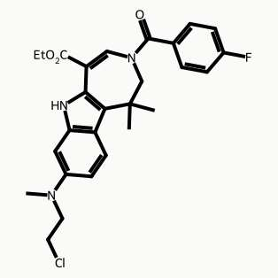 CCOC(=O)C1=CN(C(=O)c2ccc(F)cc2)CC(C)(C)c2c1[nH]c1cc(N(C)CCCl)ccc21